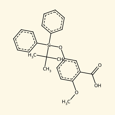 COc1ccc(O[Si](c2ccccc2)(c2ccccc2)C(C)(C)C)cc1C(=O)O